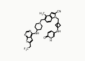 Cc1c(CN2CCC(Nc3ncnc4sc(CC(F)(F)F)cc34)CC2)ccc2c1cc(C#N)n2CC12CC(Nc3ccc(=O)[nH]c3)(C1)C2